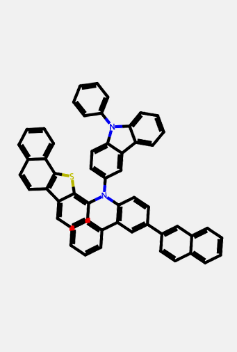 c1ccc(-c2cc(-c3ccc4ccccc4c3)ccc2N(c2ccc3c(c2)c2ccccc2n3-c2ccccc2)c2cccc3c2sc2c4ccccc4ccc32)cc1